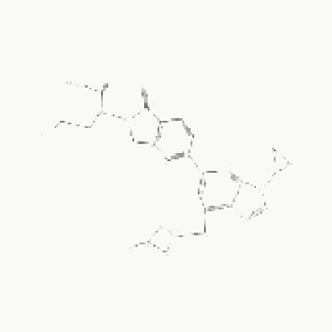 CNC(=O)C(CCC=O)N1Cc2cc(-c3cc(CN4CC(O)C4)c4ccn(C5CC5)c4n3)ccc2C1=O